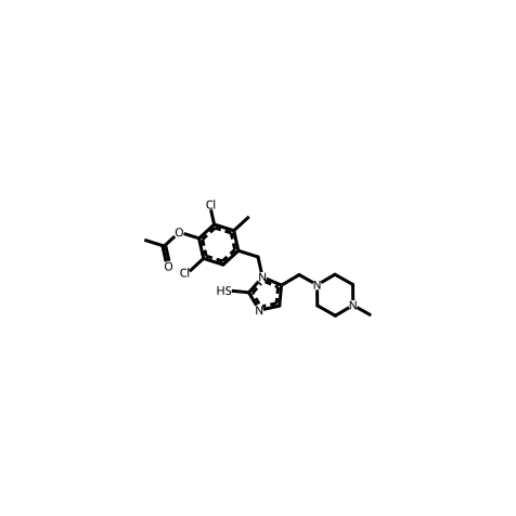 CC(=O)Oc1c(Cl)cc(Cn2c(CN3CCN(C)CC3)cnc2S)c(C)c1Cl